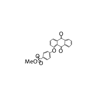 COS(=O)(=O)c1ccc(Oc2cccc3c2C(=O)c2ccccc2C3=O)cc1